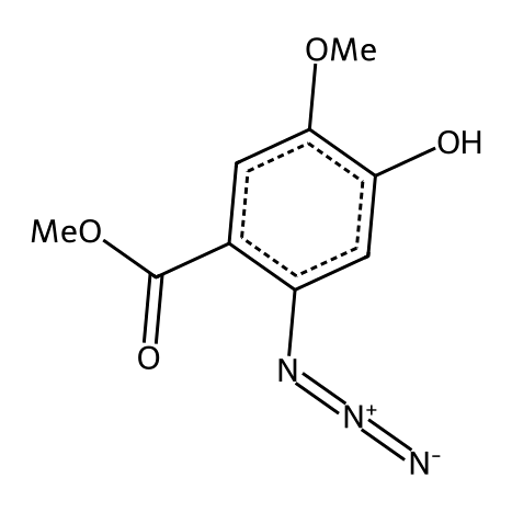 COC(=O)c1cc(OC)c(O)cc1N=[N+]=[N-]